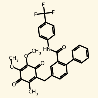 COC1=C(OC)C(=O)C(Cc2ccc(-c3ccccc3)c(C(=O)Nc3ccc(C(F)(F)F)cc3)c2)=C(C)C1=O